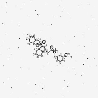 CN(Cc1cccc(C(F)(F)F)c1)C(=O)Cn1cc(S(=O)(=O)Cc2ccccc2)c2ccccc21